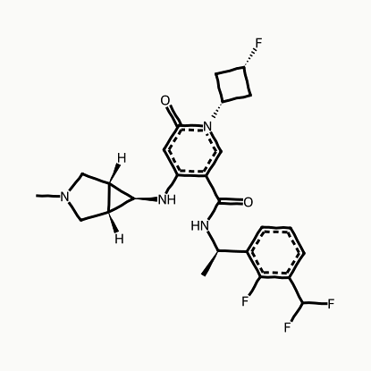 C[C@@H](NC(=O)c1cn([C@H]2C[C@@H](F)C2)c(=O)cc1N[C@H]1[C@@H]2CN(C)C[C@@H]21)c1cccc(C(F)F)c1F